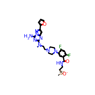 CN(CCN1CCN(c2cc(C(=O)NCC[S@+](C)[O-])c(F)cc2F)CC1)c1nc(N)n2nc(-c3ccco3)cc2n1